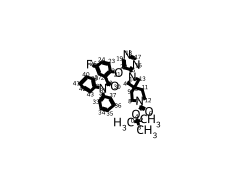 CC(C)(C)OC(=O)N1CCC2(CC1)CN(c1ncncc1Oc1ccc(F)cc1C(=O)N(c1ccccc1)c1ccccc1)C2